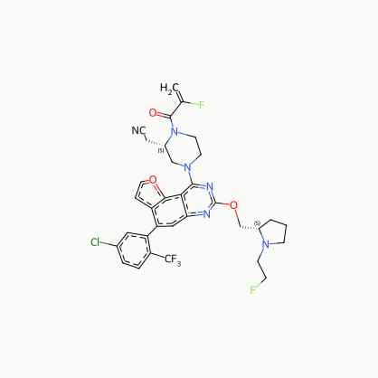 C=C(F)C(=O)N1CCN(c2nc(OC[C@@H]3CCCN3CCF)nc3cc(-c4cc(Cl)ccc4C(F)(F)F)c4ccoc4c23)C[C@@H]1CC#N